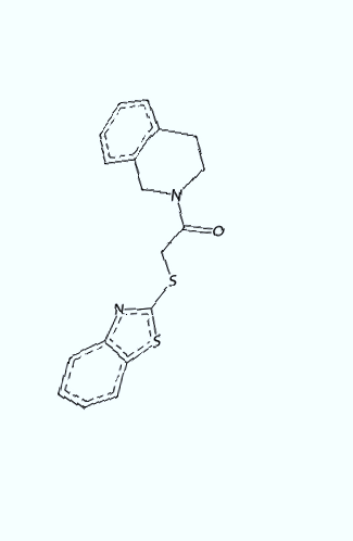 O=C(CSc1nc2ccccc2s1)N1CCc2ccccc2C1